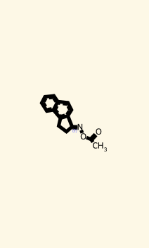 CC(=O)O/N=C1\CCc2c1ccc1ccccc21